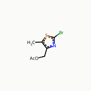 CC(=O)OCc1nc(Br)sc1C